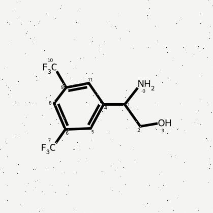 NC(CO)c1cc(C(F)(F)F)cc(C(F)(F)F)c1